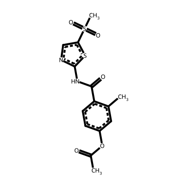 CC(=O)Oc1ccc(C(=O)Nc2ncc(S(C)(=O)=O)s2)c(C)c1